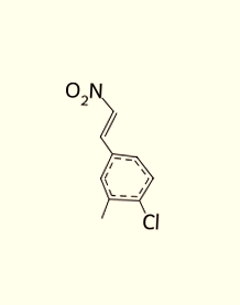 Cc1cc(C=C[N+](=O)[O-])ccc1Cl